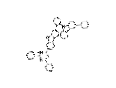 c1ccc(C2=NC(c3ccc4c(c3)oc3cc(-c5ccccc5-n5c6ccccc6c6cc(-c7ccccc7)ccc65)ccc34)NC(c3ccccc3)=N2)cc1